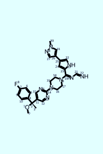 CO[C@](C)(c1ccc(F)cc1)c1cnc(N2CCN(/C(=N/C=N)c3cc(-c4cnn(C)c4)c[nH]3)CC2)nc1